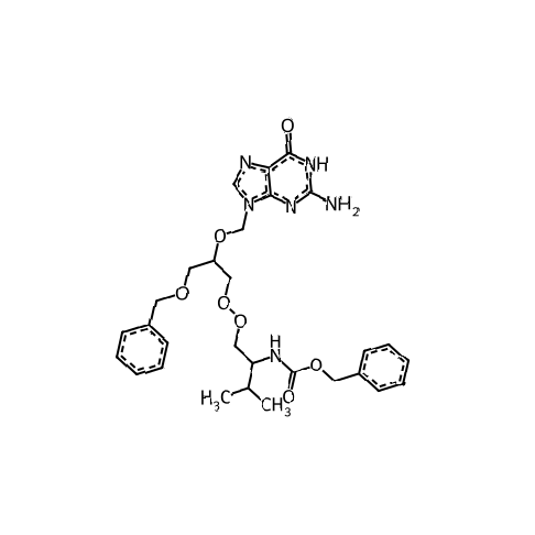 CC(C)C(COOCC(COCc1ccccc1)OCn1cnc2c(=O)[nH]c(N)nc21)NC(=O)OCc1ccccc1